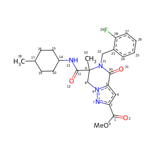 COC(=O)c1cc2n(n1)CC(C)(C(=O)NC1CCC(C)CC1)N(Cc1ccccc1F)C2=O